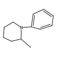 CC1CCCCN1c1[c]cccc1